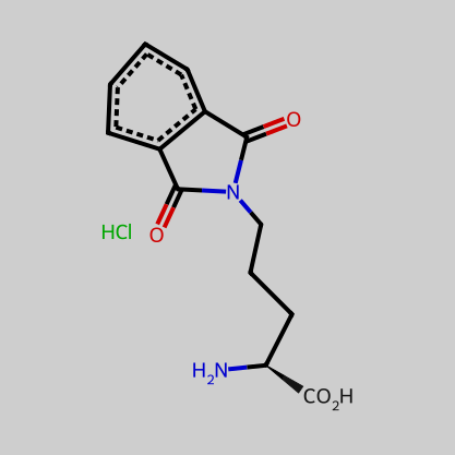 Cl.N[C@@H](CCCN1C(=O)c2ccccc2C1=O)C(=O)O